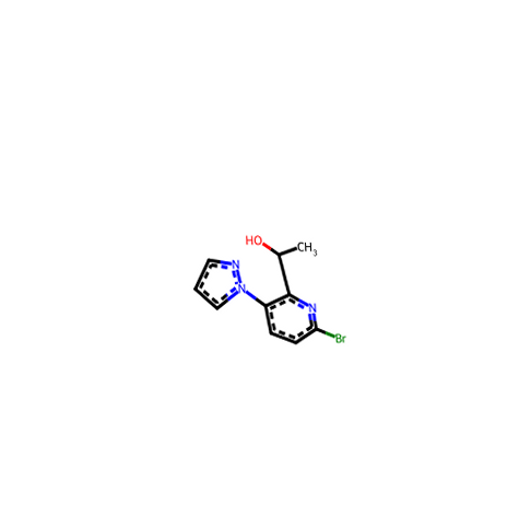 CC(O)c1nc(Br)ccc1-n1cccn1